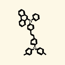 Cc1ccc(N(c2ccc(C)cc2)c2ccc(/C=C/c3ccc(N(c4ccccc4)c4cc5ccccc5c5ccccc45)cc3)cc2)cc1